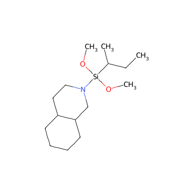 CCC(C)[Si](OC)(OC)N1CCC2CCCCC2C1